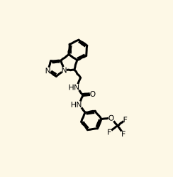 O=C(NCC1c2ccccc2-c2cncn21)Nc1cccc(OC(F)(F)F)c1